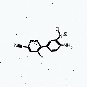 N#Cc1ccc(-c2ccc(N)c([N+](=O)[O-])c2)c(F)c1